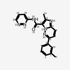 Cc1cccc(-c2ccc3nc(C)c(C(=O)Nc4cccnn4)n3n2)c1